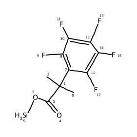 CC(C)(C(=O)O[SiH3])c1c(F)c(F)c(F)c(F)c1F